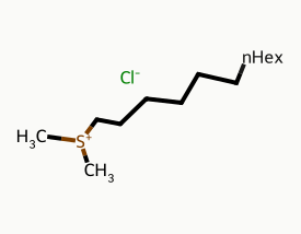 CCCCCCCCCCCC[S+](C)C.[Cl-]